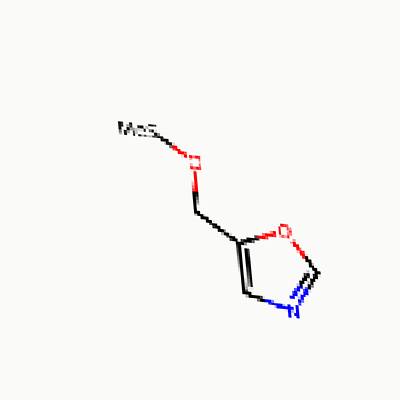 CSOCc1cnco1